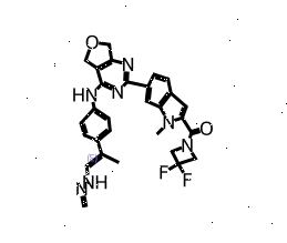 C=NN/C=C(\C)c1ccc(Nc2nc(-c3ccc4cc(C(=O)N5CC(F)(F)C5)n(C)c4c3)nc3c2COC3)cc1